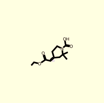 CCOC(=O)/C=C1\CCN(C(=O)O)C(C)(C)C1